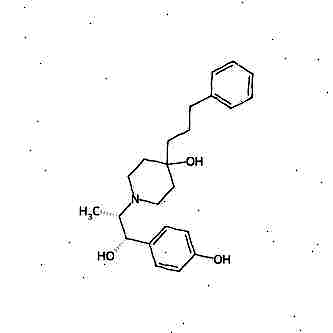 C[C@@H]([C@@H](O)c1ccc(O)cc1)N1CCC(O)(CCCc2ccccc2)CC1